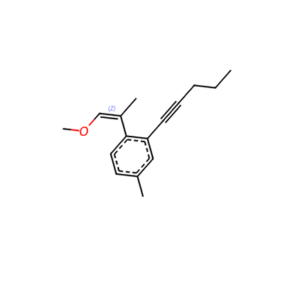 CCCC#Cc1cc(C)ccc1/C(C)=C\OC